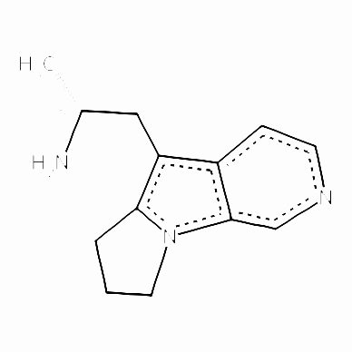 C[C@@H](N)Cc1c2n(c3cnccc13)CCC2